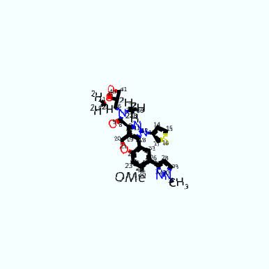 [2H]C([2H])([2H])OC1(CN(C(=O)c2nn(-c3ccsc3)c3c2COc2cc(OC)c(-c4ccn(C)n4)cc2-3)C([2H])([2H])[2H])COC1